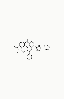 CC(C)n1c2cc(Nc3cc(N[C@H](CO)c4ccccc4)c(-c4nc(-c5ccncc5)no4)cn3)ccc2c(=O)n1C